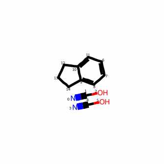 N#CO.N#CO.c1ccc2c(c1)CCC2